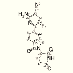 N#Cc1cc(F)c(-c2ccc3c(c2)CN(C2CCC(=O)NC2=O)C3=O)nc1N